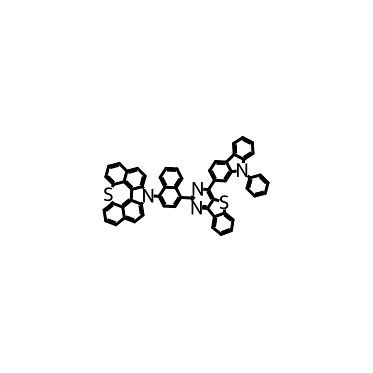 c1ccc(-n2c3ccccc3c3ccc(-c4nc(-c5ccc(-n6c7ccc8cccc9sc%10cccc%11ccc6c(c%11%10)c7c89)c6ccccc56)nc5c4sc4ccccc45)cc32)cc1